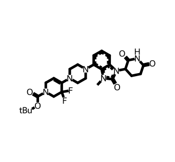 Cn1c(=O)n(C2CCC(=O)NC2=O)c2cccc(N3CCN(C4=CCN(C(=O)OC(C)(C)C)CC4(F)F)CC3)c21